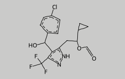 O=COC(Cc1[nH]nc(C(F)(F)F)c1C(O)c1ccc(Cl)cc1)C1CC1